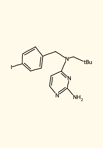 CC(C)(C)CN(Cc1ccc(I)cc1)c1ccnc(N)n1